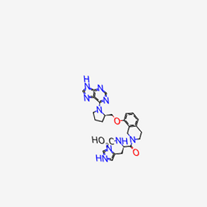 O=C(O)N[C@H](Cc1c[nH]cn1)C(=O)N1CCc2cccc(OC[C@H]3CCCN3c3ncnc4[nH]cnc34)c2C1